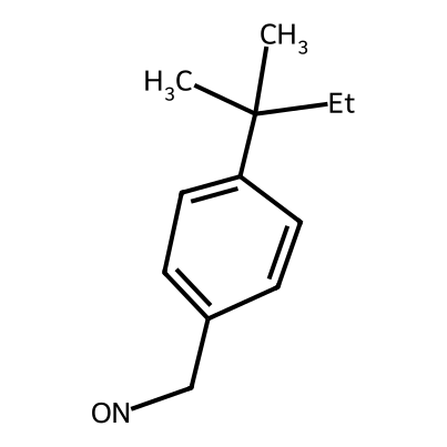 CCC(C)(C)c1ccc(CN=O)cc1